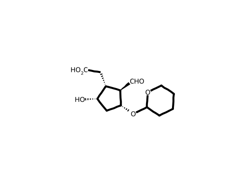 O=C[C@@H]1[C@@H](CC(=O)O)[C@@H](O)C[C@H]1OC1CCCCO1